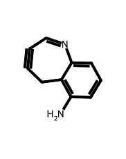 Nc1cccc2c1CC#CC=N2